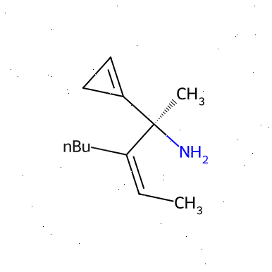 C/C=C(/CCCC)[C@](C)(N)C1=CC1